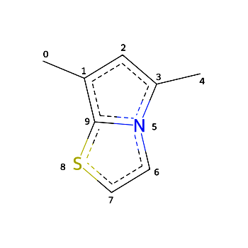 Cc1cc(C)n2ccsc12